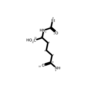 CCC(=O)NC(CCCC([NH])=O)C(=O)O